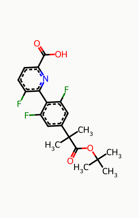 CC(C)(C)OC(=O)C(C)(C)c1cc(F)c(-c2nc(C(=O)O)ccc2F)c(F)c1